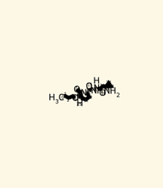 CCCCON1C(=O)N2C[C@H]1CC[C@H]2C(=O)NNC(=O)CC1(N)CC1